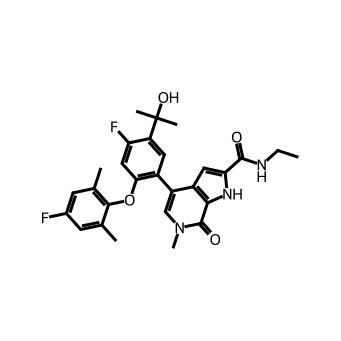 CCNC(=O)c1cc2c(-c3cc(C(C)(C)O)c(F)cc3Oc3c(C)cc(F)cc3C)cn(C)c(=O)c2[nH]1